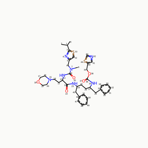 CC(C)c1nc(CN(C)C(=O)NC(CCN2CCOCC2)C(=O)NC(CCC(Cc2ccccc2)NC(=O)OCc2cncs2)Cc2ccccc2)cs1